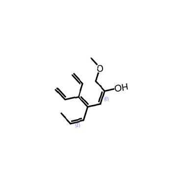 C=CC(C=C)=C(/C=C\C)/C=C(/O)COC